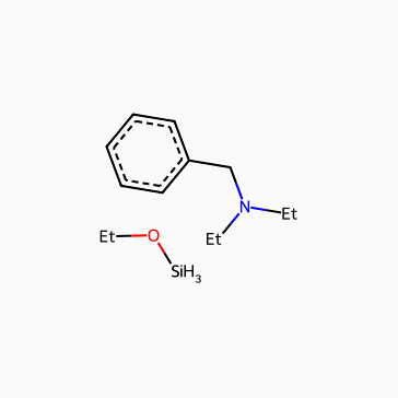 CCN(CC)Cc1ccccc1.CCO[SiH3]